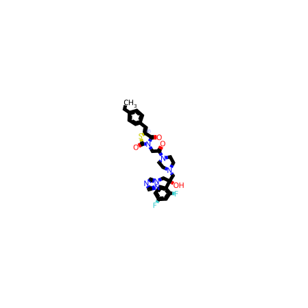 CCc1ccc(/C=C2\SC(=O)N(CC(=O)N3CCN(CC(O)(Cn4cncn4)c4ccc(F)cc4F)CC3)C2=O)cc1